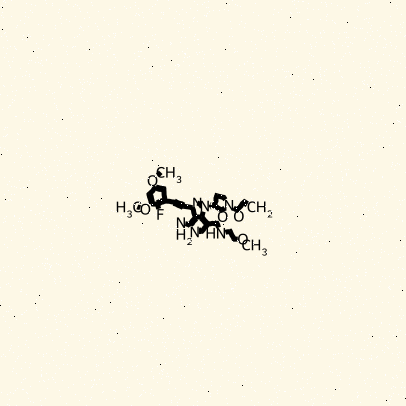 C=CC(=O)N1CC[C@H](n2nc(C#Cc3cc(OC)cc(OC)c3F)c3c(N)ncc(C(=O)NCCOC)c32)C1